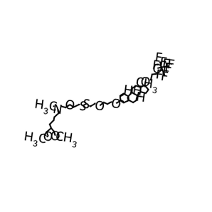 COCC(CCCCN(C)CCOCCSSCCOCCCOc1ccc2c(c1)CC[C@@H]1[C@@H]2CC[C@]2(C)[C@@H](OCCCOC(C(F)(F)F)(C(F)(F)F)C(F)(F)F)CC[C@@H]12)COC